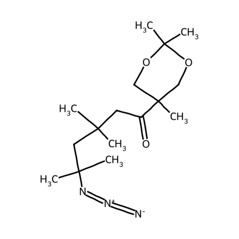 CC(C)(CC(=O)C1(C)COC(C)(C)OC1)CC(C)(C)N=[N+]=[N-]